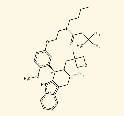 COc1ccc(OCCN(CCCF)C(=O)OC(C)(C)C)cc1[C@@H]1c2[nH]c3ccccc3c2C[C@@H](C)N1CC1(F)COC1